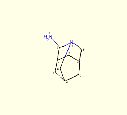 NC1C2CC3CC(C2)CN1C3